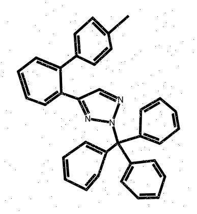 Cc1ccc(-c2ccccc2-c2cnn(C(c3ccccc3)(c3ccccc3)c3ccccc3)n2)cc1